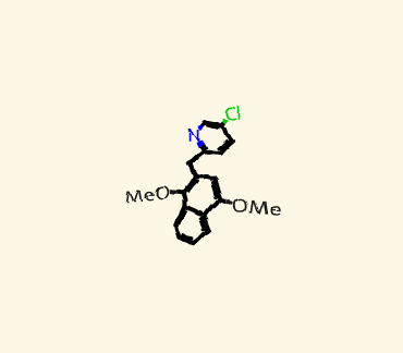 COc1cc(Cc2ccc(Cl)cn2)c(OC)c2ccccc12